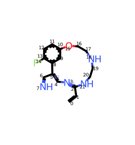 C=C/C1=N\C=C(\C=N)c2cc(ccc2F)OCCNCCN1